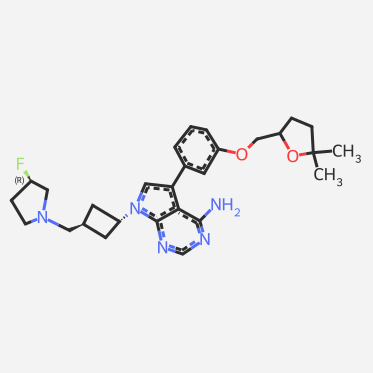 CC1(C)CCC(COc2cccc(-c3cn([C@H]4C[C@H](CN5CC[C@@H](F)C5)C4)c4ncnc(N)c34)c2)O1